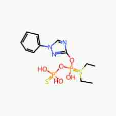 CCS(CC)=P(O)(Oc1ncn(-c2ccccc2)n1)OP(O)(O)=S